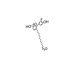 CC(=O)SCCCCCCCCCCCC1=CCC2(CO)CC1C(c1ccc(O)c(F)c1)OC2(C)C